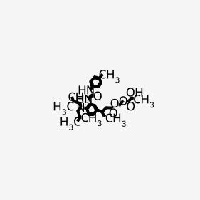 CCC(CC(=O)OCOC(=O)C(C)O)c1ccc(N(CC(C)C)CC(C)C)c(NC(=O)Nc2ccc(C)cc2)c1